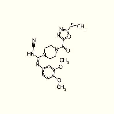 COc1ccc(N=C(NC#N)N2CCN(C(=O)c3nnc(SC)o3)CC2)cc1OC